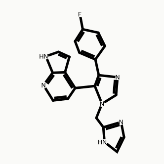 Fc1ccc(-c2ncn(Cc3ncc[nH]3)c2-c2ccnc3[nH]ccc23)cc1